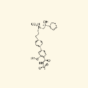 CC(C)Oc1cc(-c2ccc(CCCN(C[C@@H](O)c3ccccc3)C(=O)O)cc2)ccc1C(=O)NS(C)(=O)=O